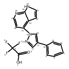 O=C(O)C(F)(F)F.c1ccc(-c2cnn(-c3ccnc4[nH]ccc34)c2)cc1